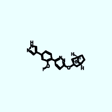 IOc1cc(-c2cn[nH]c2)ccc1-c1ccc(OC2C[C@H]3CC[C@@H](C2)N3)nn1